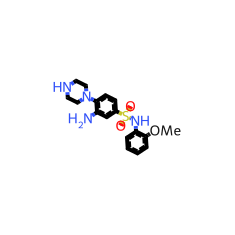 COc1ccccc1NS(=O)(=O)c1ccc(N2CCNCC2)c(N)c1